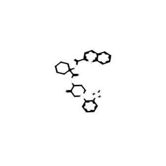 CS(=O)(=O)c1ccccc1N1CCC(NC(=O)C2(NC(=O)c3ccc4ccccc4n3)CCCCC2)C(=O)C1